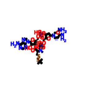 CN[C@@H](CSSC(C)(C)C)C(=O)O[C@@H]1[C@@H](COP(=O)(O)O[C@H]2C[C@H](N(/C=C\CN)CON)O[C@@H]2COP(=O)(O)O)OC(n2cnc3c(N)ncnc32)[C@@H]1O